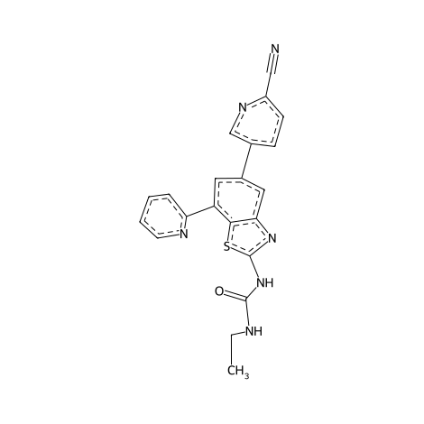 CCNC(=O)Nc1nc2cc(-c3ccc(C#N)nc3)cc(-c3ccccn3)c2s1